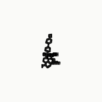 COc1ccc(F)c2c1[C@H](C(=O)NO)N(S(=O)(=O)c1ccc(-c3ccc(Cl)cc3)cc1)CC2